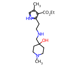 CCOC(=O)c1c(C)c[nH]c1CCNCC1(O)CCN(C)CC1